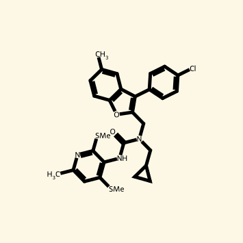 CSc1cc(C)nc(SC)c1NC(=O)N(Cc1oc2ccc(C)cc2c1-c1ccc(Cl)cc1)CC1CC1